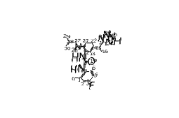 Cc1cc(F)ccc1NC(=O)Nc1cc(C(C)c2nnn[nH]2)ccc1N(C)CC(C)C